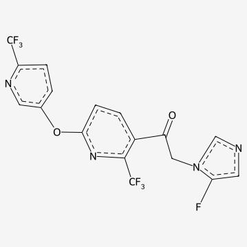 O=C(Cn1cncc1F)c1ccc(Oc2ccc(C(F)(F)F)nc2)nc1C(F)(F)F